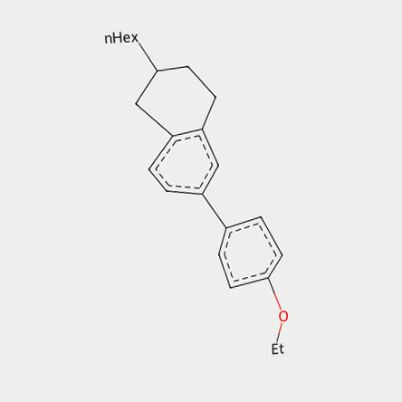 CCCCCCC1CCc2cc(-c3ccc(OCC)cc3)ccc2C1